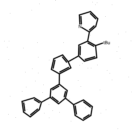 CC(C)(C)c1ccc(-c2cccc(-c3cc(-c4ccccc4)cc(-c4ccccc4)c3)c2)cc1-c1ccccn1